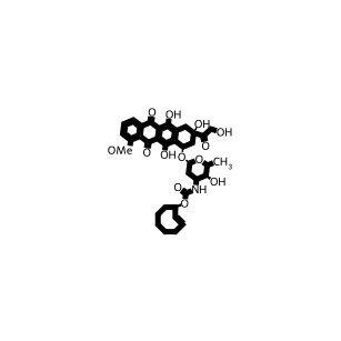 COc1cccc2c1C(=O)c1c(O)c3c(c(O)c1C2=O)C[C@@](O)(C(=O)CO)C[C@@H]3O[C@H]1CC(NC(=O)O[C@H]2/C=C/CCCCC2)[C@H](O)C(C)O1